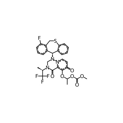 COC(=O)OC(C)Oc1c2n(ccc1=O)N([C@@H]1c3ccccc3SCc3c(F)cccc31)CN([C@H](C)C(F)(F)F)C2=O